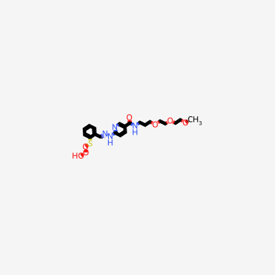 COCCOCCOCCCNC(=O)c1ccc(N/N=C/c2ccccc2SOOO)nc1